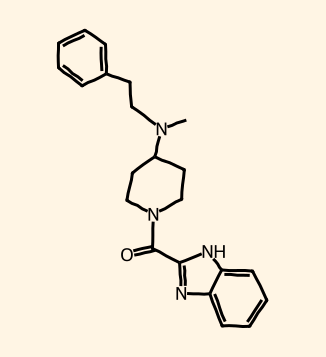 CN(CCc1ccccc1)C1CCN(C(=O)c2nc3ccccc3[nH]2)CC1